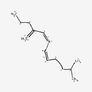 C=C(/C=N\C=C/CCC(C)C)CCC